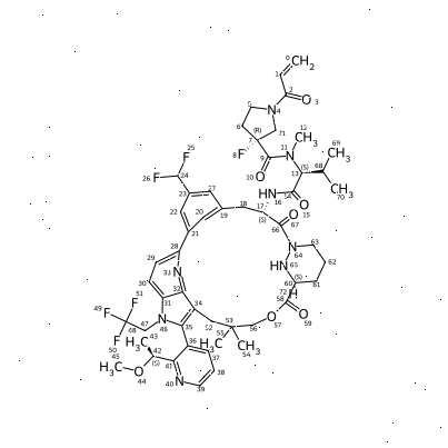 C=CC(=O)N1CC[C@](F)(C(=O)N(C)[C@H](C(=O)N[C@H]2Cc3cc(cc(C(F)F)c3)-c3ccc4c(n3)c(c(-c3cccnc3[C@H](C)OC)n4CC(F)(F)F)CC(C)(C)COC(=O)[C@@H]3CCCN(N3)C2=O)C(C)C)C1